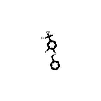 OC(I)(c1ccc(OCc2ccccc2)c(F)c1)C(F)(F)F